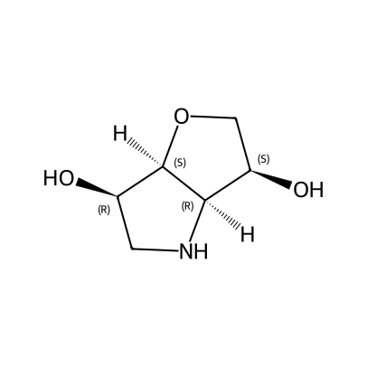 O[C@@H]1CO[C@H]2[C@@H]1NC[C@H]2O